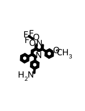 COc1cccc(-c2cnc(OC(=O)C(F)(F)F)c3cc(-c4ccccc4)c(-c4ccc(CN)cc4)nc23)c1